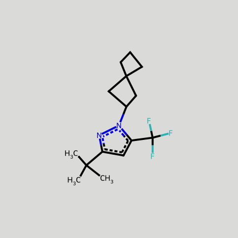 CC(C)(C)c1cc(C(F)(F)F)n(C2CC3(CCC3)C2)n1